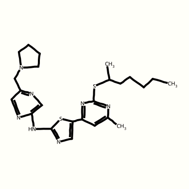 CCCCCC(C)Sc1nc(C)cc(-c2cnc(Nc3cnc(CN4CCCC4)cn3)s2)n1